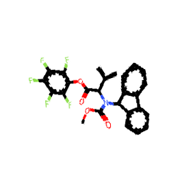 COC(=O)N(C1c2ccccc2-c2ccccc21)C(C(=O)Oc1c(F)c(F)c(F)c(F)c1F)C(C)C